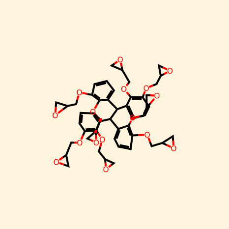 c1cc(OCC2CO2)c(OCC2CO2)c(C(c2cccc(OCC3CO3)c2OCC2CO2)C(c2cccc(OCC3CO3)c2OCC2CO2)c2cccc(OCC3CO3)c2OCC2CO2)c1